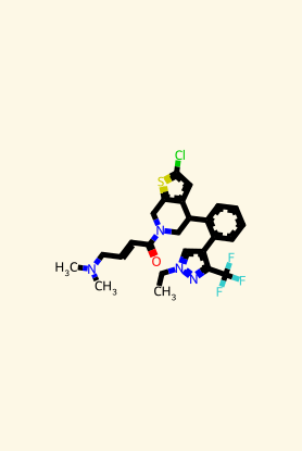 CCn1cc(-c2ccccc2C2CN(C(=O)/C=C/CN(C)C)Cc3sc(Cl)cc32)c(C(F)(F)F)n1